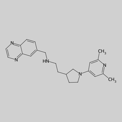 Cc1cc(N2CCC(CCNCc3ccc4nccnc4c3)C2)cc(C)n1